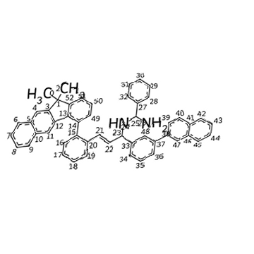 CC1(C)c2cc3ccccc3cc2-c2c(-c3ccccc3/C=C/C(NC(N)c3ccccc3)c3cccc(-c4ccc5ccccc5c4)c3)cccc21